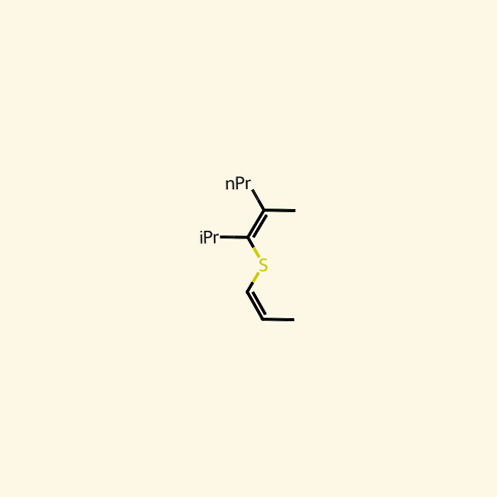 C/C=C\S/C(=C(\C)CCC)C(C)C